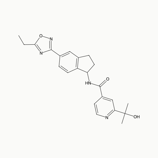 CCc1nc(-c2ccc3c(c2)CCC3NC(=O)c2ccnc(C(C)(C)O)c2)no1